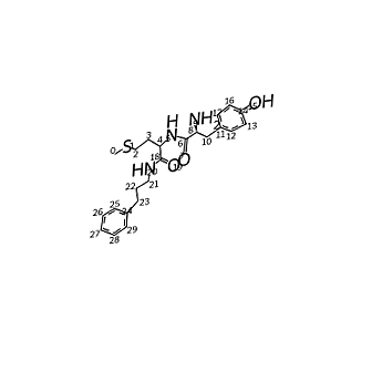 CSCCC(NC(=O)[C@@H](N)Cc1ccc(O)cc1)C(=O)NCCCc1ccccc1